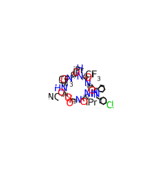 CC(C)C[C@@H]1NC(=O)[C@H](Cc2cn(Cc3ccc(Cl)cc3)c3ccccc23)N(C)C(=O)[C@H](CC(F)(F)F)NC(=O)[C@H](CC(C)C)N(C)C(=O)[C@H](CC(F)(F)F)NC(=O)[C@@H](CCC#N)OC(=O)[C@H](C)N(C)C1=O